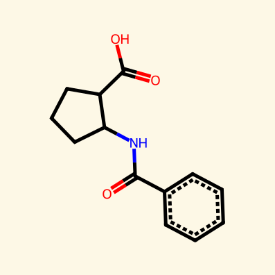 O=C(NC1CCCC1C(=O)O)c1ccccc1